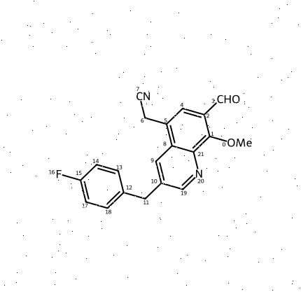 COc1c(C=O)cc(CC#N)c2cc(Cc3ccc(F)cc3)cnc12